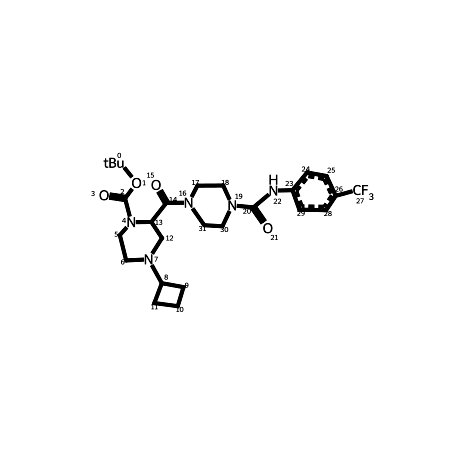 CC(C)(C)OC(=O)N1CCN(C2CCC2)CC1C(=O)N1CCN(C(=O)Nc2ccc(C(F)(F)F)cc2)CC1